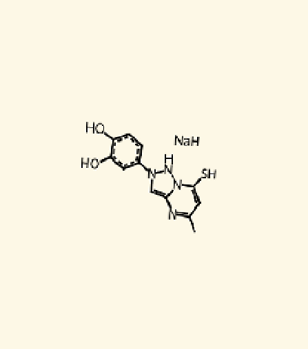 CC1=NC2=CN(c3ccc(O)c(O)c3)NN2C(S)=C1.[NaH]